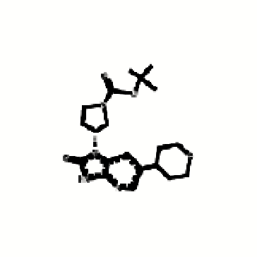 CC(C)(C)OC(=O)N1CC[C@@H](n2c(=O)[nH]c3ncc(C4CCOCC4)cc32)C1